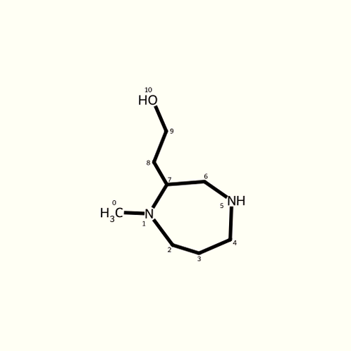 CN1CCCNCC1CCO